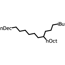 CCCCCCCCCCCCCCCCC(CCCCCCCC)CCCC(C)CC